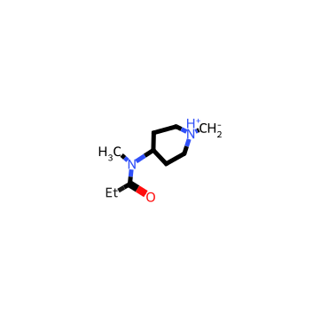 [CH2-][NH+]1CCC(N(C)C(=O)CC)CC1